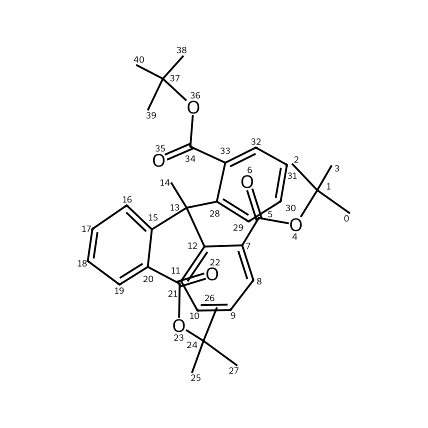 CC(C)(C)OC(=O)c1ccccc1C(C)(c1ccccc1C(=O)OC(C)(C)C)c1ccccc1C(=O)OC(C)(C)C